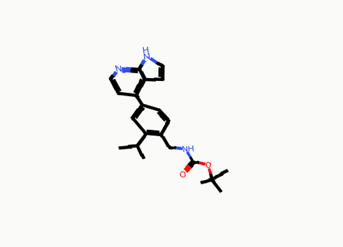 CC(C)c1cc(-c2ccnc3[nH]ccc23)ccc1CNC(=O)OC(C)(C)C